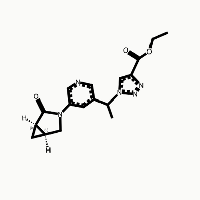 CCOC(=O)c1cn(C(C)c2cncc(N3C[C@H]4C[C@H]4C3=O)c2)nn1